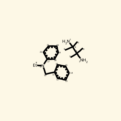 CC(C)(N)C(C)(C)N.CCN(Cc1ccccc1)c1ccccc1